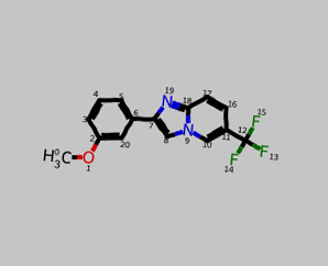 COc1cccc(-c2cn3cc(C(F)(F)F)ccc3n2)c1